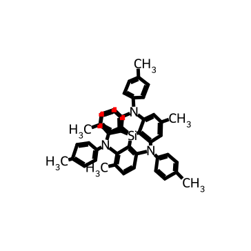 Cc1ccc(N2c3cc(C)cc4c3[Si]3(c5ccccc5)c5c2ccc(C)c5N(c2ccc(C)cc2)c2c(C)ccc(c23)N4c2ccc(C)cc2)cc1